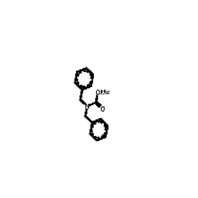 COC(=O)N(Cc1ccccc1)Cc1ccccc1